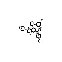 CN1CCN(C(=O)c2cc(C3CCCN3c3cc(F)cc(F)c3)c3nc(N4CCOCC4)cnc3c2)CC1